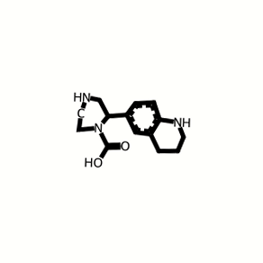 O=C(O)N1CCNCC1c1ccc2c(c1)CCCN2